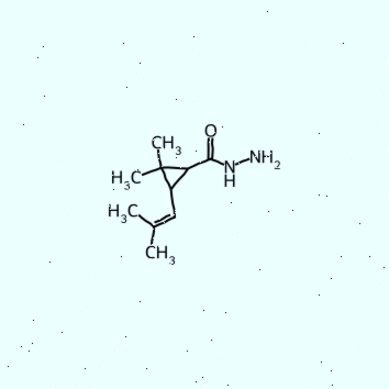 CC(C)=CC1C(C(=O)NN)C1(C)C